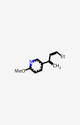 C=C(/C=C\CC)c1ccc(OC)nc1